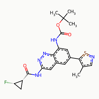 Cc1cnsc1-c1cc(NC(=O)OC(C)(C)C)c2nnc(NC(=O)[C@@H]3C[C@@H]3F)cc2c1